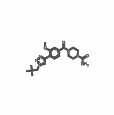 COc1cc(C(=O)N2CCN(C(N)=O)CC2)ccc1-c1cn(CC(C)(C)C)nn1